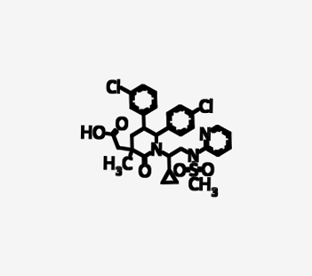 CC1(CC(=O)O)CC(c2cccc(Cl)c2)C(c2ccc(Cl)cc2)N(C(CN(c2ccccn2)S(C)(=O)=O)C2CC2)C1=O